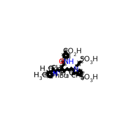 CCCC[N+]1=C(/C=C/C(=C/C=C/C=C2/N(CCCCS(=O)(=O)O)c3ccc(S(=O)(=O)O)cc3C2(C)C)CCC(=O)Nc2ccc(C(=O)O)cc2)C(C)(C)c2cc(C)ccc21